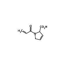 C=CC(=O)N1CC=CC1C(=O)O